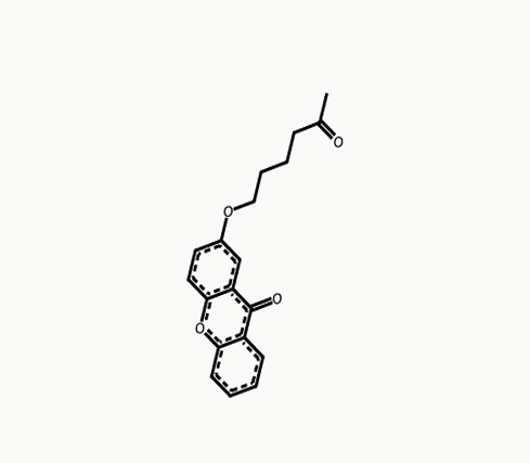 CC(=O)CCCCOc1ccc2oc3ccccc3c(=O)c2c1